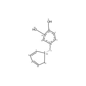 Oc1ccc(C[C@H]2C=CC=CC2)cc1O